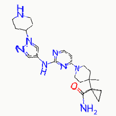 CC1(C2(C(N)=O)CC2)CCN(c2ccnc(Nc3cnn(C4CCNCC4)c3)n2)CC1